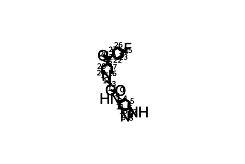 O=C(Nc1ccc2[nH]cnc2c1)OCCN1CCC(C(=O)c2ccc(F)cc2)CC1